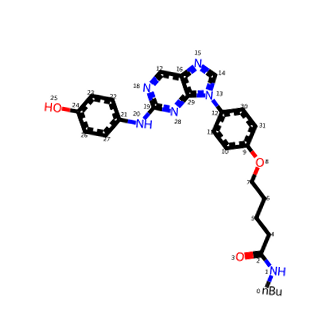 CCCCNC(=O)CCCCOc1ccc(-n2cnc3cnc(Nc4ccc(O)cc4)nc32)cc1